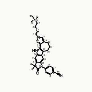 CC1(C)C(=O)N(c2ccc(C#N)cc2)c2cc3c4c([nH]c3cc21)-c1nn(COCC[Si](C)(C)C)cc1CCC4